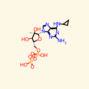 C[C@@]1(O)[C@H](O)[C@@H](COP(=O)(O)OP(=O)(O)O)O[C@H]1n1cnc2c(NC3CC3)nc(N)nc21